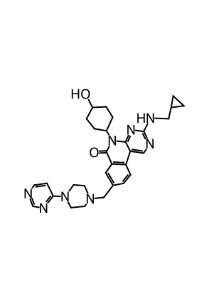 O=c1c2cc(CN3CCN(c4ccncn4)CC3)ccc2c2cnc(NCC3CC3)nc2n1C1CCC(O)CC1